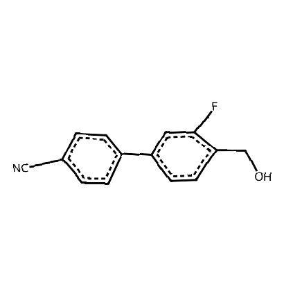 N#Cc1ccc(-c2ccc(CO)c(F)c2)cc1